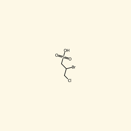 O=S(=O)(O)CC(Br)CCl